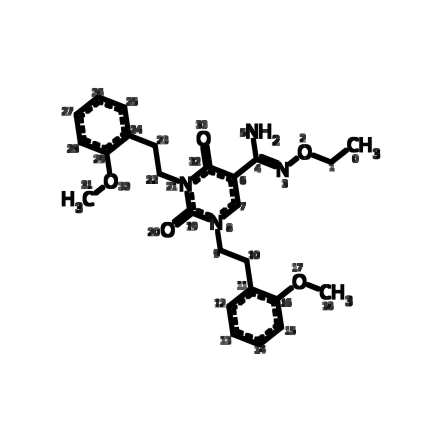 CCO/N=C(\N)c1cn(CCc2ccccc2OC)c(=O)n(CCc2ccccc2OC)c1=O